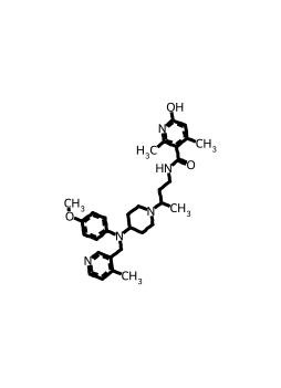 COc1ccc(N(Cc2cnccc2C)C2CCN(C(C)CCNC(=O)c3c(C)cc(O)nc3C)CC2)cc1